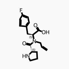 C=CCN(C(=O)[C@@H]1CCCN1)[C@@H](Cc1ccc(F)cc1)C(=O)O